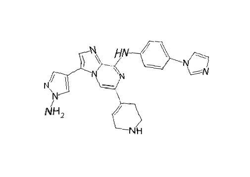 Nn1cc(-c2cnc3c(Nc4ccc(-n5ccnc5)cc4)nc(C4=CCNCC4)cn23)cn1